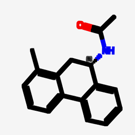 CC(=O)N[C@H]1Cc2c(C)cccc2-c2ccccc21